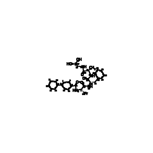 CC(C)[C@H](NC(=O)c1ccc(-c2ccccc2)cc1)C(=O)N[C@@H](Cc1ccccc1)C(=O)N[C@@H](C)C(=O)NCB(O)O